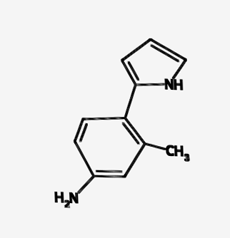 Cc1cc(N)ccc1-c1ccc[nH]1